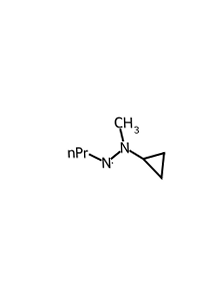 CCC[N]N(C)C1CC1